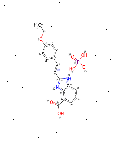 CCOc1ccc(/C=C/c2nc3c(C(=O)O)cccc3[nH]2)cc1.O=P(O)(O)O